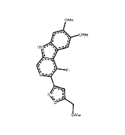 CCc1c(-c2cc(COC)on2)ncc2[nH]c3cc(OC)c(OC)cc3c12